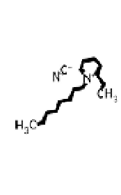 CCCCCCCC[n+]1ccccc1CC.[C-]#N